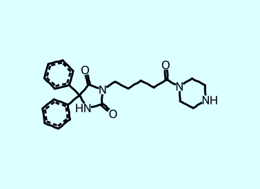 O=C(CCCCN1C(=O)NC(c2ccccc2)(c2ccccc2)C1=O)N1CCNCC1